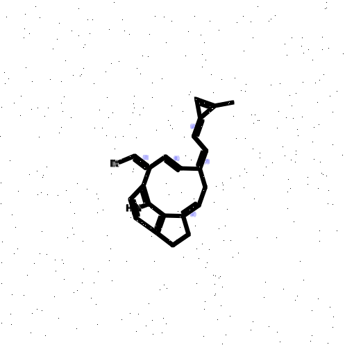 CC/C=C1/C=C/C(=C\C=C2C=C\2C)C/C=C2/CCc3ccc1c(N)c32